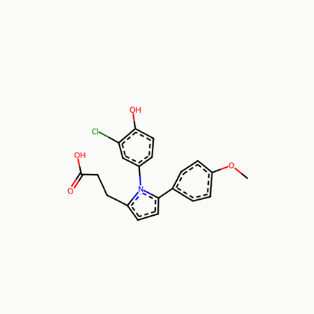 COc1ccc(-c2ccc(CCC(=O)O)n2-c2ccc(O)c(Cl)c2)cc1